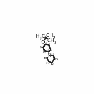 CC(C)(C)O[C@H]1CC[C@H](N2CCCCC2)CC1